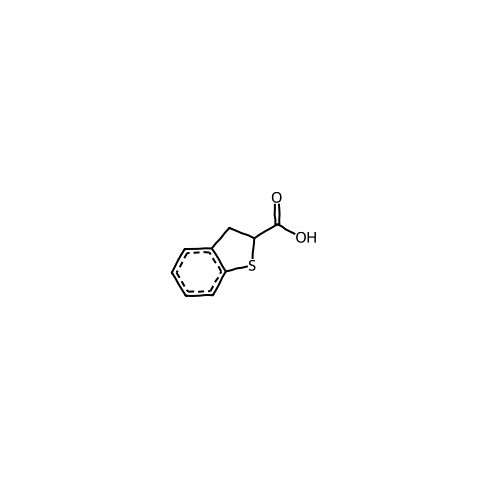 O=C(O)C1Cc2ccccc2S1